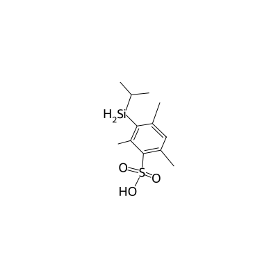 Cc1cc(C)c(S(=O)(=O)O)c(C)c1[SiH2]C(C)C